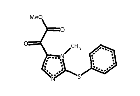 COC(=O)C(=O)c1cnc(Sc2ccccc2)n1C